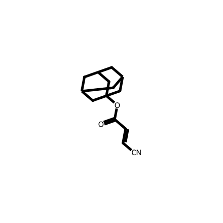 N#CC=CC(=O)OC12CC3CC(CC(C3)C1)C2